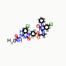 CNC(=O)CNc1nc(=O)n(-c2ccc(OC(=O)C3CCN3c3nc(=O)n(-c4ccccc4)c4cc(Cl)ccc34)cc2)c2cc(Cl)ccc12